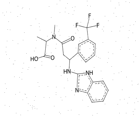 CC(C(=O)O)N(C)C(=O)CC(Nc1nc2ccccc2[nH]1)c1cccc(C(F)(F)F)c1